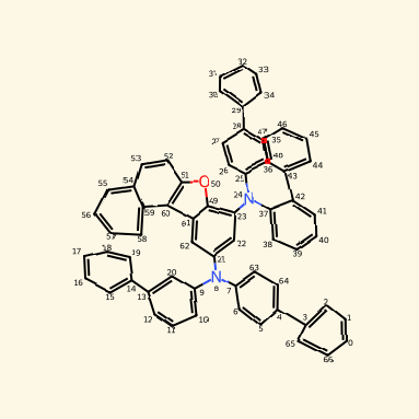 c1ccc(-c2ccc(N(c3cccc(-c4ccccc4)c3)c3cc(N(c4ccc(-c5ccccc5)cc4)c4ccccc4-c4ccccc4)c4oc5ccc6ccccc6c5c4c3)cc2)cc1